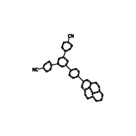 N#Cc1ccc(-c2cc(-c3ccc(C#N)cc3)cc(-c3ccc(-c4cc5ccc6cccc7ccc(c4)c5c67)cc3)c2)cc1